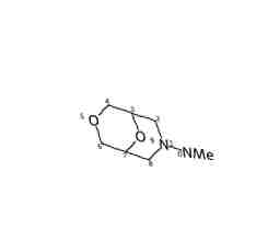 CNN1CC2COCC(C1)O2